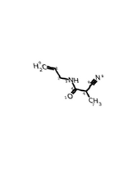 C=CCNC(=O)C(C)C#N